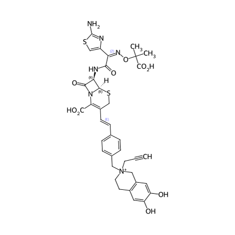 C#CC[N+]1(Cc2ccc(/C=C/C3=C(C(=O)O)N4C(=O)[C@@H](NC(=O)/C(=N\OC(C)(C)C(=O)O)c5csc(N)n5)[C@H]4SC3)cc2)CCc2cc(O)c(O)cc2C1